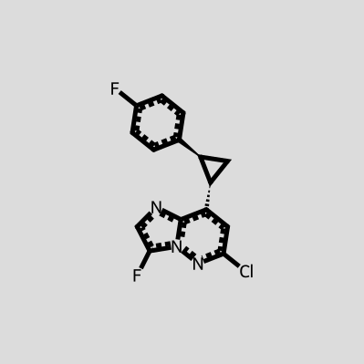 Fc1ccc([C@H]2C[C@@H]2c2cc(Cl)nn3c(F)cnc23)cc1